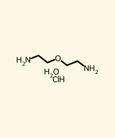 Cl.NCCOCCN.O